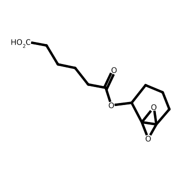 O=C(O)CCCCC(=O)OC1CCCC23OC12O3